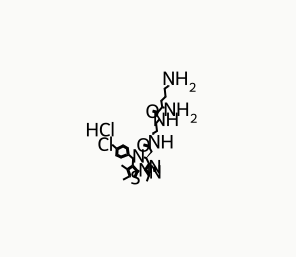 Cc1sc2c(c1C)C(c1ccc(Cl)cc1)=N[C@@H](CC(=O)NCCCNC(=O)C(N)CCCCN)c1nnc(C)n1-2.Cl